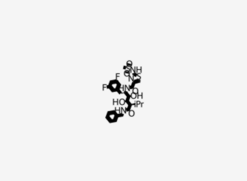 CC(C)[C@@H](C(=O)NCc1ccccc1)[C@@H](O)[C@H](O)[C@H](Cc1cc(F)cc(F)c1)NC(=O)c1csc(NS(C)(=O)=O)n1